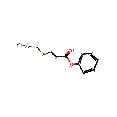 CCCCCCCCSCCC(=O)Oc1ccccc1